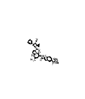 C[C@H]1C[C@H]2CC[C@@H](C(=O)N3C[C@H](c4ccccc4)[C@@H](C#N)C34CC4)N2C(=O)[C@@H](NC(=O)c2cc3cc([C@H](F)P(=O)(O)O)ccc3s2)C1